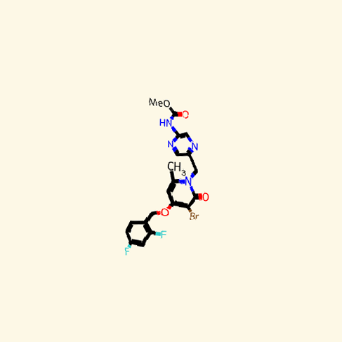 COC(=O)Nc1cnc(Cn2c(C)cc(OCc3ccc(F)cc3F)c(Br)c2=O)cn1